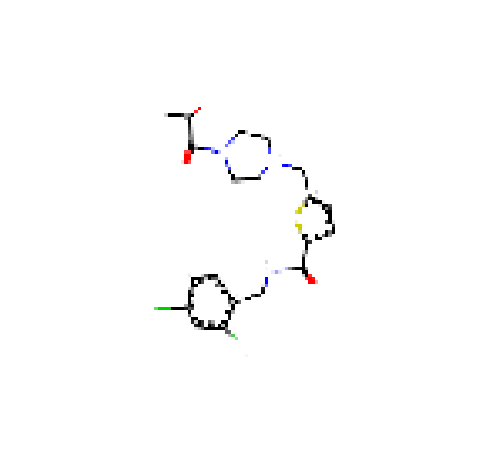 CC(O)C(=O)N1CCN(Cc2ccc(C(=O)NCc3ccc(Cl)cc3Cl)s2)CC1